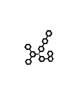 c1ccc(-c2ccc(-c3ccc(N(c4cc(-c5ccccc5)cc(-c5ccccc5)c4)c4cccc(-c5cccc6ccccc56)c4)cc3)cc2)cc1